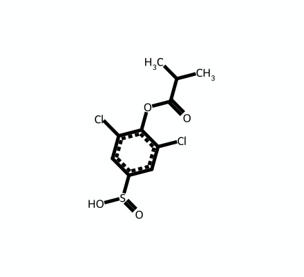 CC(C)C(=O)Oc1c(Cl)cc(S(=O)O)cc1Cl